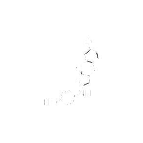 COc1ccc(CC2C=C(NC3CCC(O)CC3)SC2=O)cc1